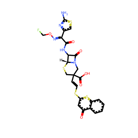 Nc1nc(C(=NOCF)C(=O)NC2C(=O)N3CC(C=CSc4cc(=O)c5ccccc5s4)(C(=O)O)CS[C@H]23)cs1